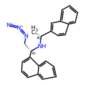 C[C@@H](N[C@@H](CN=[N+]=[N-])c1cccc2ccccc12)c1ccc2ccccc2c1